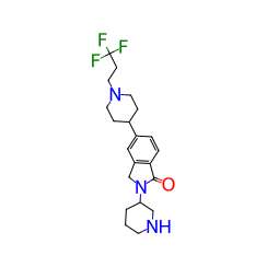 O=C1c2ccc(C3CCN(CCC(F)(F)F)CC3)cc2CN1C1CCCNC1